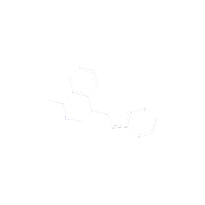 CC1NCC(c2cc3ccccc3s2)c2ccccc21